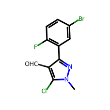 Cn1nc(-c2cc(Br)ccc2F)c(C=O)c1Cl